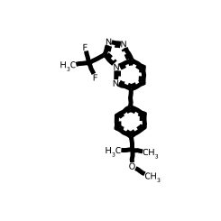 COC(C)(C)c1ccc(-c2ccc3nnc(C(C)(F)F)n3n2)cc1